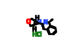 C[C@H](N)c1ccccc1/C=C/C1[C@H]2COC[C@@H]12.Cl